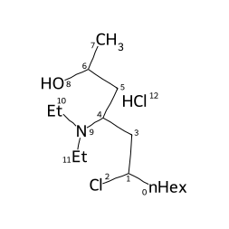 CCCCCCC(Cl)CC(CC(C)O)N(CC)CC.Cl